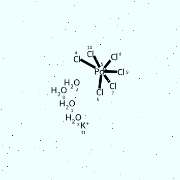 O.O.O.O.[Cl][Pd-]([Cl])([Cl])([Cl])([Cl])[Cl].[K+]